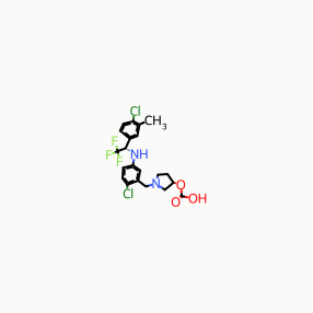 Cc1cc([C@H](Nc2ccc(Cl)c(CN3CC[C@@H](OC(=O)O)C3)c2)C(F)(F)F)ccc1Cl